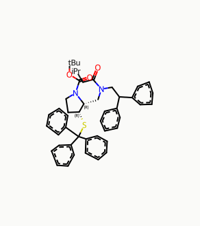 CC(C)CC(=O)N(CC(c1ccccc1)c1ccccc1)C[C@@H]1[C@H](SC(c2ccccc2)(c2ccccc2)c2ccccc2)CCN1C(=O)OC(C)(C)C